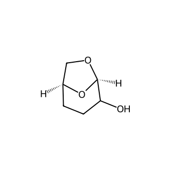 OC1CC[C@H]2CO[C@@H]1O2